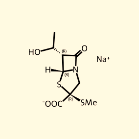 CS[C@]1(C(=O)[O-])CN2C(=O)[C@@H](C(C)O)[C@H]2S1.[Na+]